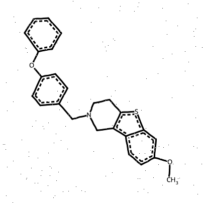 COc1ccc2c3c(sc2c1)CCN(Cc1ccc(Oc2ccccc2)cc1)C3